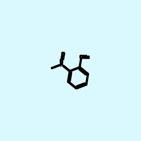 COc1ccccc1[PH](C)=O